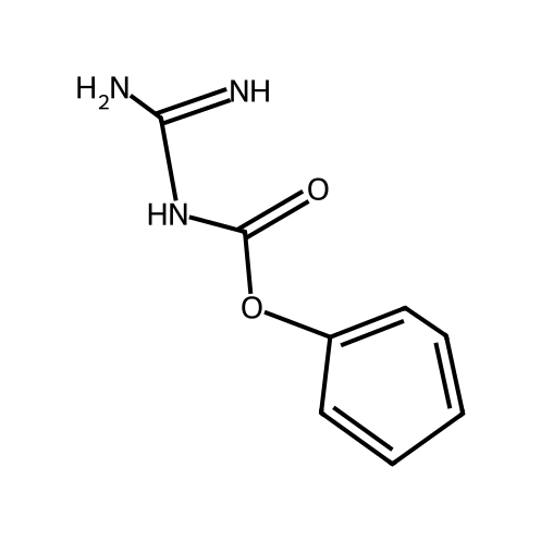 N=C(N)NC(=O)Oc1ccccc1